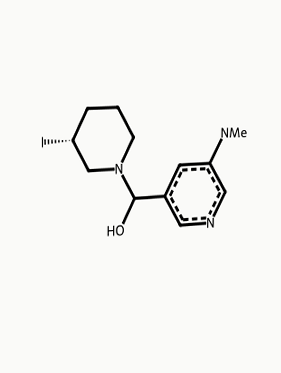 CNc1cncc(C(O)N2CCC[C@@H](I)C2)c1